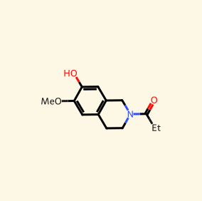 CCC(=O)N1CCc2cc(OC)c(O)cc2C1